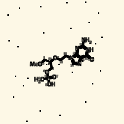 COC[C@H](COP(C)(=O)O)OCCn1cnc2c(=O)[nH]c(N)nc21